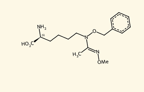 CON=C(C)N(CCCC[C@H](N)C(=O)O)OCc1ccccc1